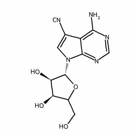 [C-]#[N+]c1cn([C@@H]2OC(CO)[C@@H](O)[C@H]2O)c2ncnc(N)c12